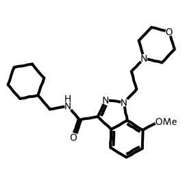 COc1cccc2c(C(=O)NCC3CCCCC3)nn(CCN3CCOCC3)c12